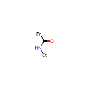 CCNC(=O)C(C)C